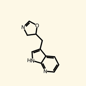 C1=NCC(Cc2c[nH]c3ncccc23)O1